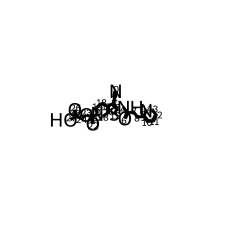 N#Cc1c(NC(=O)CCc2ccccn2)sc2c1CCN(C(=O)OCC(=O)O)C2